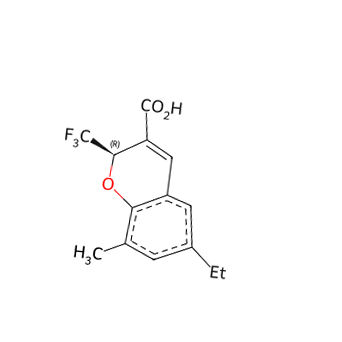 CCc1cc(C)c2c(c1)C=C(C(=O)O)[C@H](C(F)(F)F)O2